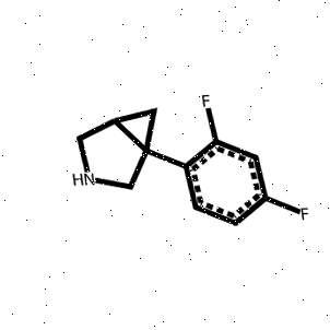 Fc1ccc(C23CNCC2C3)c(F)c1